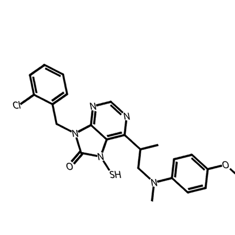 COc1ccc(N(C)CC(C)c2ncnc3c2n(S)c(=O)n3Cc2ccccc2Cl)cc1